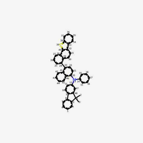 CC1(C)c2ccccc2-c2ccc(N(c3ccccc3)c3ccc(-c4cccc5c4ccc4c6ccccc6sc54)c4ccccc34)cc21